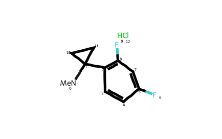 CNC1(c2ccc(F)cc2F)CC1.Cl